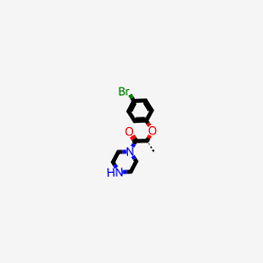 C[C@@H](Oc1ccc(Br)cc1)C(=O)N1CCNCC1